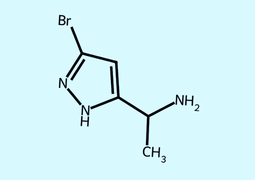 CC(N)c1cc(Br)n[nH]1